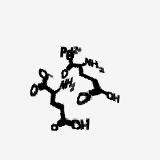 N[C@@H](CCC(=O)O)C(=O)[O-].N[C@@H](CCC(=O)O)C(=O)[O-].[Pd+2]